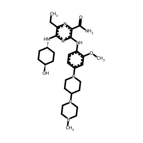 CCc1nc(C(N)=O)c(Nc2ccc(N3CCC(N4CCN(C)CC4)CC3)cc2OC)nc1N[C@H]1CC[C@H](O)CC1